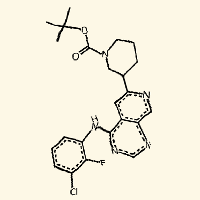 CC(C)(C)OC(=O)N1CCCC(c2cc3c(Nc4cccc(Cl)c4F)ncnc3cn2)C1